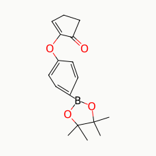 CC1(C)OB(c2ccc(OC3=CCCC3=O)cc2)OC1(C)C